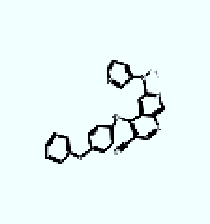 CN(c1cccnc1)c1cc2c(Nc3ccc(Sc4ccccc4)cc3)c(C#N)cnc2cn1